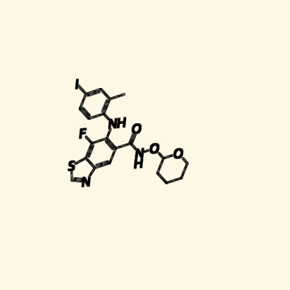 Cc1cc(I)ccc1Nc1c(C(=O)NOC2CCCCO2)cc2ncsc2c1F